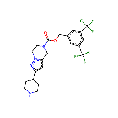 O=C(OCc1cc(C(F)(F)F)cc(C(F)(F)F)c1)N1CCn2nc(C3CCNCC3)cc2C1